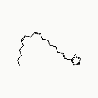 CCCCC/C=C\C/C=C\CCCCC/C=C/c1cccs1